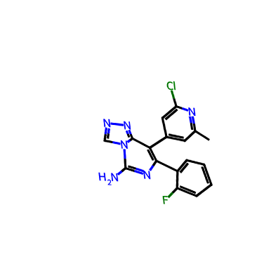 Cc1cc(-c2c(-c3ccccc3F)nc(N)n3cnnc23)cc(Cl)n1